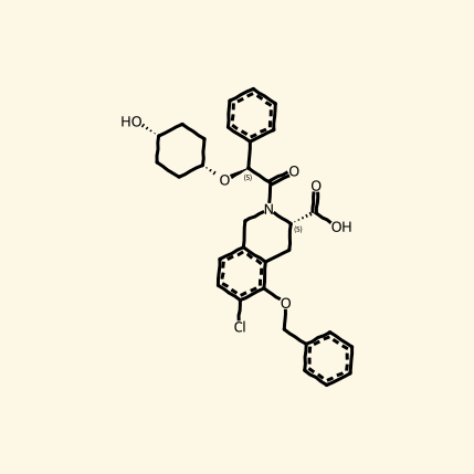 O=C(O)[C@@H]1Cc2c(ccc(Cl)c2OCc2ccccc2)CN1C(=O)[C@@H](O[C@H]1CC[C@@H](O)CC1)c1ccccc1